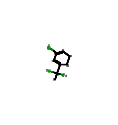 CC(F)(F)C1=CC(Cl)=CCC1